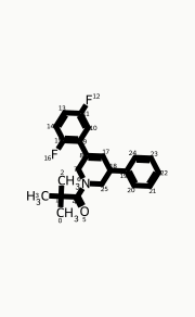 CC(C)(C)C(=O)N1CC(c2cc(F)ccc2F)=CC(c2ccccc2)C1